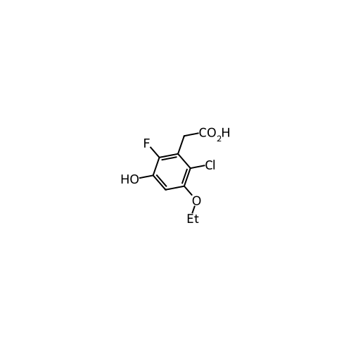 CCOc1cc(O)c(F)c(CC(=O)O)c1Cl